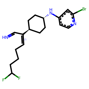 N=C/C(=C\CCCC(F)F)[C@H]1CC[C@H](Nc2ccnc(Br)c2)CC1